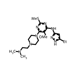 CCc1cc(Nc2nc(SC)nc(N3CCN(CCN(C)C)CC3)c2OC)n[nH]1